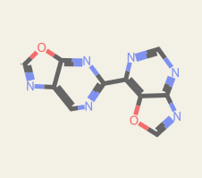 [c]1nc2cnc(-c3ncnc4ncoc34)nc2o1